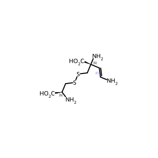 N/C=C/[C@@](N)(CSSC[C@@H](N)C(=O)O)C(=O)O